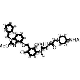 COc1nc2c(OCc3c(Cl)ccc(N(C)C(=O)CNC(=O)CN4CCC(NC(C)=O)CC4)c3Cl)cccc2n1Cc1ccccn1